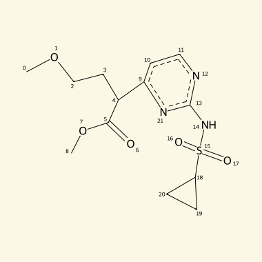 COCCC(C(=O)OC)c1ccnc(NS(=O)(=O)C2CC2)n1